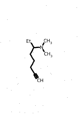 C#CCCCC(CC)N(C)C